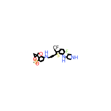 CS(=O)(=O)c1ccc(NCC#Cc2sc3c(N[C@@H]4CCNC[C@@H]4F)cccc3c2CC(F)(F)F)c2c1C1(CC1)CO2